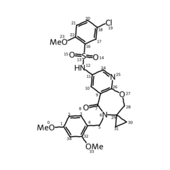 COc1ccc(CN2C(=O)c3cc(NS(=O)(=O)c4cc(Cl)ccc4OC)cnc3OCC23CC3)c(OC)c1